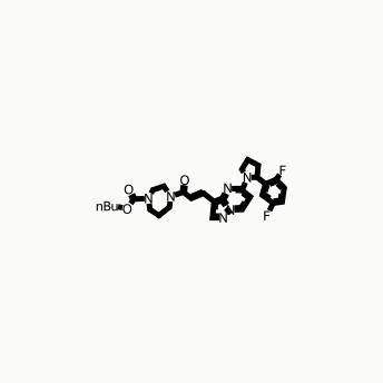 CCCCOC(=O)N1CCCN(C(=O)C=Cc2cnn3ccc(N4CCCC4c4cc(F)ccc4F)nc23)CC1